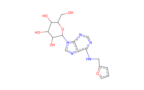 OCC1OC(n2cnc3c(NCc4ccco4)ncnc32)C(O)C(O)C1O